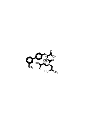 CC(C)CN(C[C@H](O)C(=O)O)C(=O)N[C@@H](Cc1ccc(-c2cccc(N)c2)cc1)C(=O)O